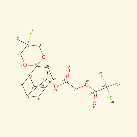 CC1(F)COC2(OC1)C1CC3CC(C1)C(OC(=O)COC(=O)C(C)(F)F)C2C3